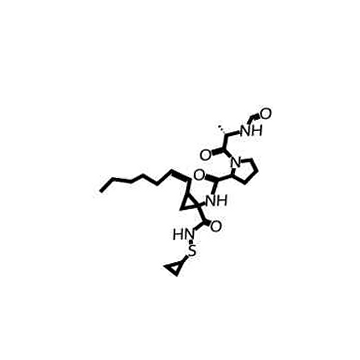 CCCCC/C=C\C1CC1(NC(=O)C1CCCN1C(=O)[C@H](C)NC=O)C(=O)NSC1CC1